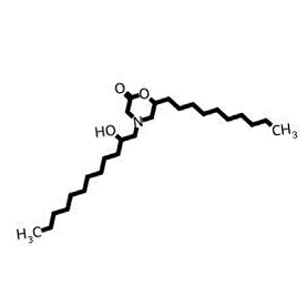 CCCCCCCCCCC(O)CN1CC(=O)OC(CCCCCCCCCC)C1